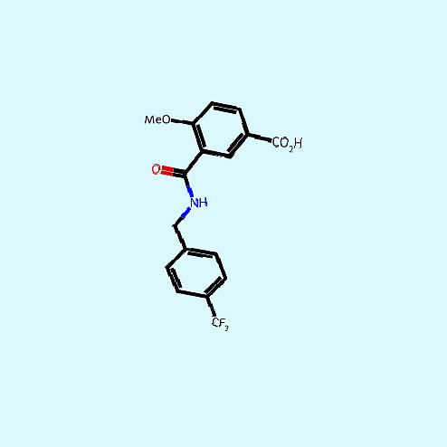 COc1ccc(C(=O)O)cc1C(=O)NCc1ccc(C(F)(F)F)cc1